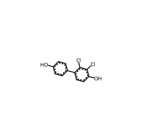 Oc1ccc(-c2ccc(O)c(Cl)c2Cl)cc1